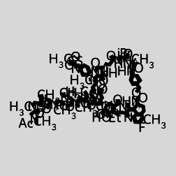 CC[C@@]1(O)C(=O)OCc2c1cc1n(c2=O)Cc2c-1nc1cc(F)c(C)c3c1c2[C@@H](NC(=O)OCc1ccc(NC(=O)[C@H](C)NC(=O)[C@@H](NC(=O)CC[C@@H](NC(=O)CN(C)C(=O)CN(C)C(=O)CN(C)C(=O)CN(C)C(=O)CN(C)C(=O)CN(C)C(=O)CN(C)C(=O)CN(C)C(=O)CN(C)C(=O)CN(C)C(C)=O)C(=O)Nc2ccc4nc(S(C)(=O)=O)sc4c2)C(C)C)cc1)CC3